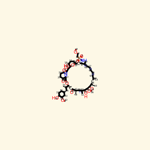 COCCS(=O)(=O)N[C@H]1C[C@@H]2CC[C@@H](C)[C@@](O)(O2)C(=O)C(=O)N2CCCC[C@H]2C(=O)O[C@H]([C@H](C)C[C@@H]2CC[C@@H](O)[C@H](OC)C2)CC(=O)[C@H](C)/C=C(\C)[C@@H](O)[C@@H](OC)C(=O)[C@H](C)C[C@H](C)/C=C/C=C/C=C/1C